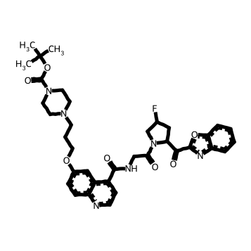 CC(C)(C)OC(=O)N1CCN(CCCOc2ccc3nccc(C(=O)NCC(=O)N4CC(F)CC4C(=O)c4nc5ccccc5o4)c3c2)CC1